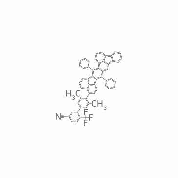 Cc1cc(-c2cc(C#N)ccc2C(F)(F)F)cc(C)c1-c1ccc2c3c(-c4ccccc4)c4cc5c6ccccc6c6cccc(c4c(-c4ccccc4)c3c3cccc1c23)c65